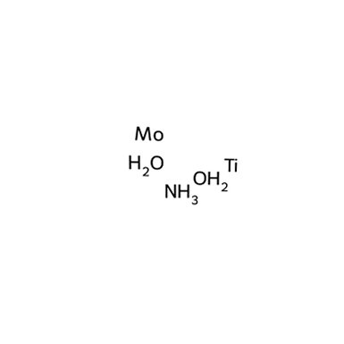 N.O.O.[Mo].[Ti]